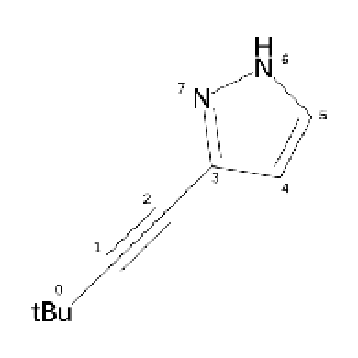 CC(C)(C)C#Cc1cc[nH]n1